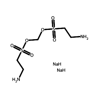 NCCS(=O)(=O)OCOS(=O)(=O)CCN.[NaH].[NaH]